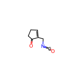 O=C=NCC1=CCCC1=O